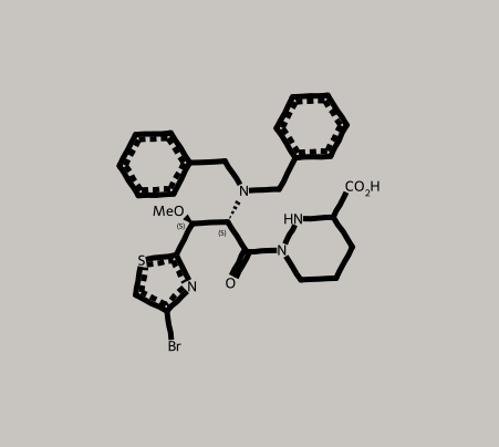 CO[C@H](c1nc(Br)cs1)[C@@H](C(=O)N1CCCC(C(=O)O)N1)N(Cc1ccccc1)Cc1ccccc1